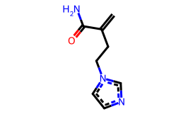 C=C(CCn1ccnc1)C(N)=O